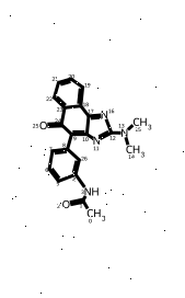 CC(=O)Nc1cccc(C2=C3N=C(N(C)C)N=C3c3ccccc3C2=O)c1